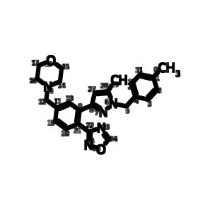 Cc1ccc(Cn2nc(-c3cc(CN4CCOCC4)ccc3-c3ncon3)cc2C)cc1